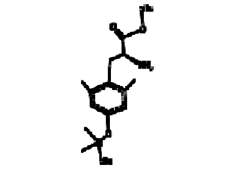 CCCCOC(=O)[C@@H](N)Cc1c(C)cc(O[Si](C)(C)C(C)(C)C)cc1C